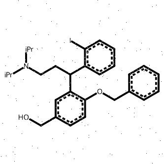 CC(C)N(CCC(c1ccccc1I)c1cc(CO)ccc1OCc1ccccc1)C(C)C